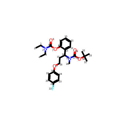 CCN(CC)C(=O)Oc1ccccc1C(CCOc1ccc(F)cc1)N(C)C(=O)OC(C)(C)C